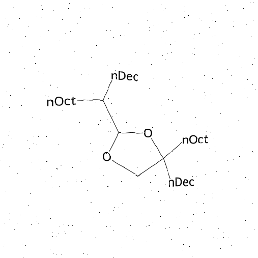 CCCCCCCCCCC(CCCCCCCC)C1OCC(CCCCCCCC)(CCCCCCCCCC)O1